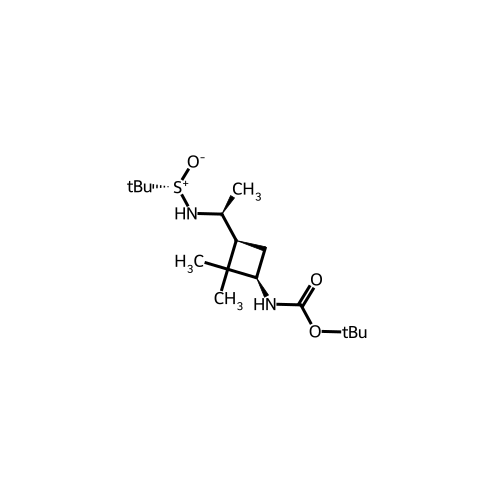 C[C@H](N[S@@+]([O-])C(C)(C)C)[C@H]1C[C@@H](NC(=O)OC(C)(C)C)C1(C)C